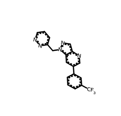 FC(F)(F)c1cccc(-c2cnc3cnn(Cc4cccnn4)c3c2)c1